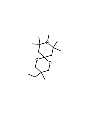 CCC1(C)COC2(CC(C)(C)N(C)C(C)(C)C2)OC1